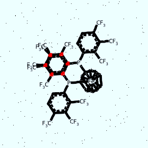 FC(F)(F)c1ccc(P(c2ccc(C(F)(F)F)c(C(F)(F)F)c2C(F)(F)F)[C]23[CH]4[CH]5[CH]6[C]2(P(c2ccc(C(F)(F)F)c(C(F)(F)F)c2C(F)(F)F)c2ccc(C(F)(F)F)c(C(F)(F)F)c2C(F)(F)F)[Fe]54632789[CH]3[CH]2[CH]7[CH]8[CH]39)c(C(F)(F)F)c1C(F)(F)F